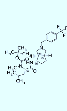 CC(C)C[C@@H](C(=O)N[C@H]1CC[C@@H]2CN(Cc3ccc(C(F)(F)F)cc3)C[C@@H]21)N(C)C(=O)OC(C)(C)C